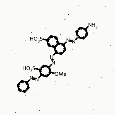 COc1cc(N=Nc2ccccc2)c(S(=O)(=O)O)cc1N=Nc1ccc(N=Nc2ccc(N)cc2)c2ccc(S(=O)(=O)O)cc12